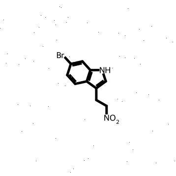 O=[N+]([O-])CCc1c[nH]c2cc(Br)ccc12